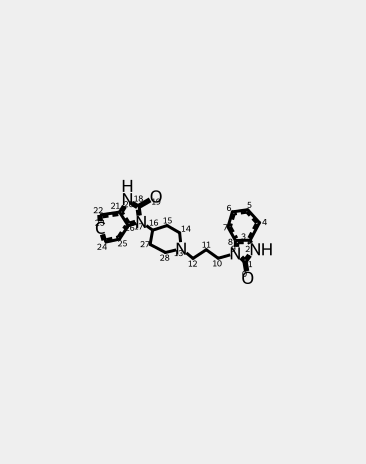 O=c1[nH]c2ccccc2n1CCCN1CCC(n2c(=O)[nH]c3ccccc32)CC1